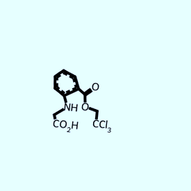 O=C(O)CNc1ccccc1C(=O)OCC(Cl)(Cl)Cl